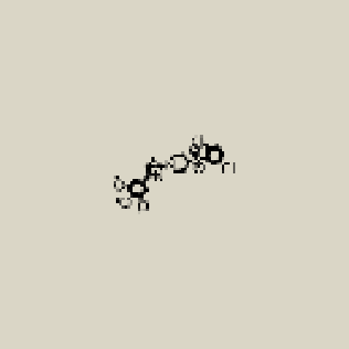 COc1cc(-c2csc(N3CCC(S(=O)(=O)c4cc(Cl)ccc4Cl)CC3)n2)cc(OC)c1OC